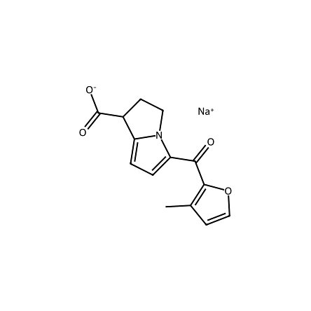 Cc1ccoc1C(=O)c1ccc2n1CCC2C(=O)[O-].[Na+]